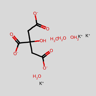 O.O.O.O.O=C([O-])CC(O)(CC(=O)[O-])C(=O)[O-].[K+].[K+].[K+]